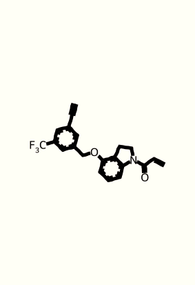 C#Cc1cc(COc2cccc3c2CCN3C(=O)C=C)cc(C(F)(F)F)c1